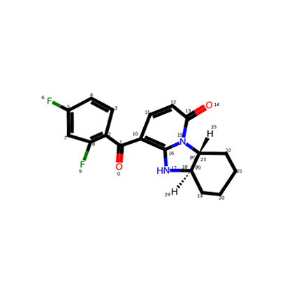 O=C(c1ccc(F)cc1F)c1ccc(=O)n2c1N[C@@H]1CCCC[C@H]12